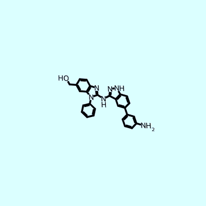 Nc1cccc(-c2ccc3[nH]nc(Nc4nc5ccc(CO)cc5n4-c4ccccc4)c3c2)c1